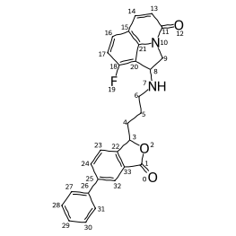 O=C1OC(CCCNC2Cn3c(=O)ccc4ccc(F)c2c43)c2ccc(-c3ccccc3)cc21